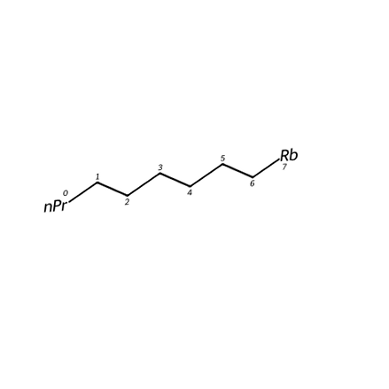 CCCCCCCC[CH2][Rb]